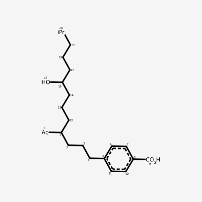 CC(=O)C(CCCc1ccc(C(=O)O)cc1)CCCC(O)CCCC(C)C